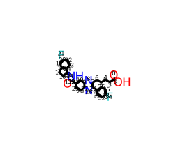 O=C(O)CCCCc1nc2cc(C(=O)N[C@H]3CCc4cc(F)ccc43)ccc2nc1-c1ccc(F)cc1